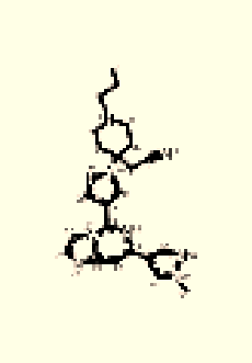 CCCN1CCC(CC#N)(n2cc(-c3nc(-c4cnn(C)c4)cc4nccn34)cn2)CC1